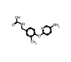 Cc1cc(CNC(=O)O)ccc1Oc1ccc(N)cn1